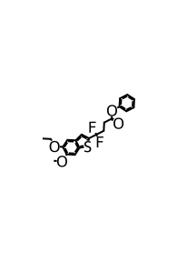 CCOc1cc2cc(C(F)(F)CCC(=O)Oc3ccccc3)sc2cc1OC